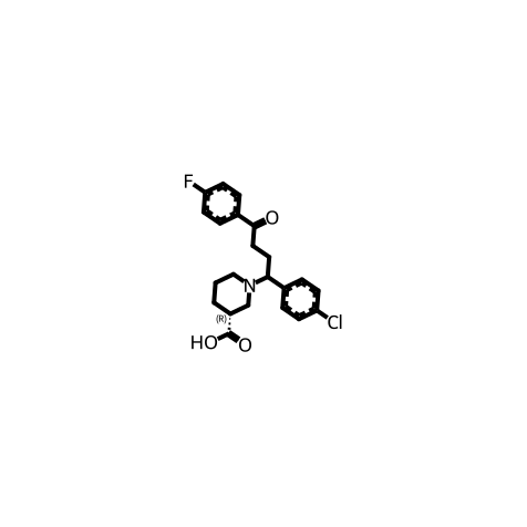 O=C(CCC(c1ccc(Cl)cc1)N1CCC[C@@H](C(=O)O)C1)c1ccc(F)cc1